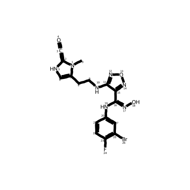 CN1C(=C=O)NC=C1CCNc1nonc1C(=NO)Nc1ccc(F)c(Br)c1